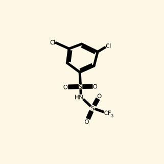 O=S(=O)(NS(=O)(=O)C(F)(F)F)c1[c]c(Cl)cc(Cl)c1